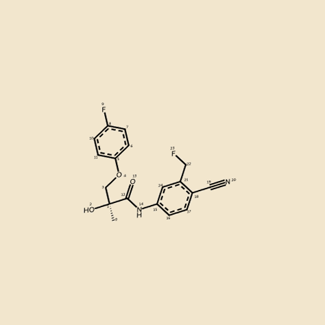 C[C@](O)(COc1ccc(F)cc1)C(=O)Nc1ccc(C#N)c(CF)c1